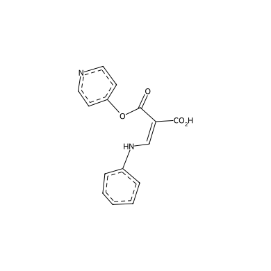 O=C(O)C(=CNc1ccccc1)C(=O)Oc1ccncc1